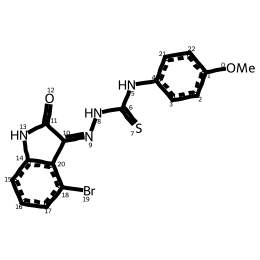 COc1ccc(NC(=S)N/N=C2\C(=O)Nc3cccc(Br)c32)cc1